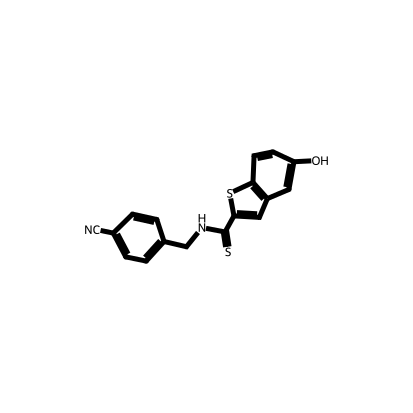 N#Cc1ccc(CNC(=S)c2cc3cc(O)ccc3s2)cc1